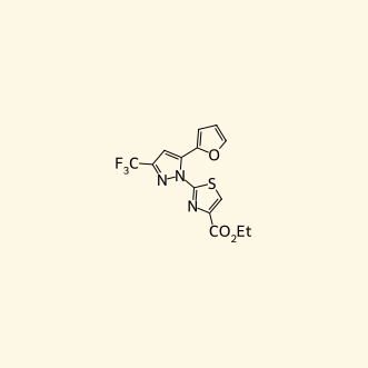 CCOC(=O)c1csc(-n2nc(C(F)(F)F)cc2-c2ccco2)n1